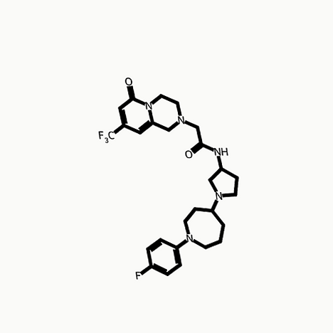 O=C(CN1CCn2c(cc(C(F)(F)F)cc2=O)C1)NC1CCN(C2CCCN(c3ccc(F)cc3)CC2)C1